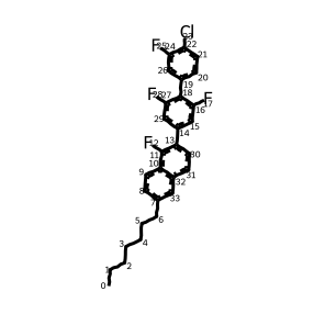 CCCCCCCc1ccc2c(F)c(-c3cc(F)c(-c4ccc(Cl)c(F)c4)c(F)c3)ccc2c1